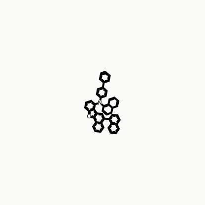 c1ccc(-c2ccc(N(C3=C4C=CC=CC4CC=C3)c3cccc4oc5c6ccccc6c(-c6cccc7ccccc67)cc5c34)cc2)cc#1